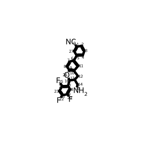 N#Cc1cccc(-c2ccc3c(c2)CC(CN)C(c2cc(F)c(F)cc2F)O3)c1